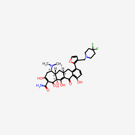 CN(C)[C@@H]1CC(O)=C(C(N)=O)C(=O)[C@@]2(O)C(O)=C3C(=O)c4c(O)ccc(-c5occc5CN5CCC(F)(F)CC5)c4C[C@H]3C[C@@H]12